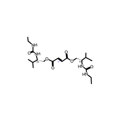 CCNC(=O)N[C@H](COC(=O)/C=C/C(=O)OC[C@@H](NC(=O)NCC)C(C)C)C(C)C